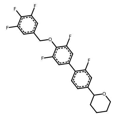 Fc1cc(C2CCCCO2)ccc1-c1cc(F)c(OCc2cc(F)c(F)c(F)c2)c(F)c1